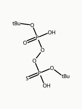 CC(C)(C)OP(=O)(O)OOP(O)(=S)OC(C)(C)C